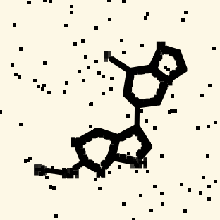 CCNc1ncc2c(-c3cc(F)c4nccn4c3)c[nH]c2n1